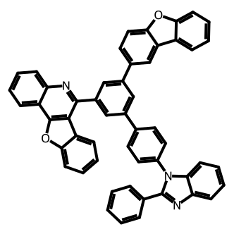 c1ccc(-c2nc3ccccc3n2-c2ccc(-c3cc(-c4ccc5oc6ccccc6c5c4)cc(-c4nc5ccccc5c5oc6ccccc6c45)c3)cc2)cc1